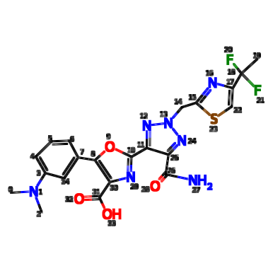 CN(C)c1cccc(-c2oc(-c3nn(Cc4nc(C(C)(F)F)cs4)nc3C(N)=O)nc2C(=O)O)c1